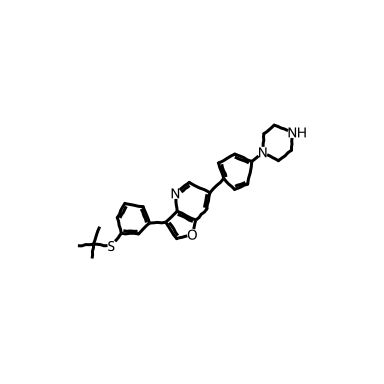 CC(C)(C)Sc1cccc(-c2coc3cc(-c4ccc(N5CCNCC5)cc4)cnc23)c1